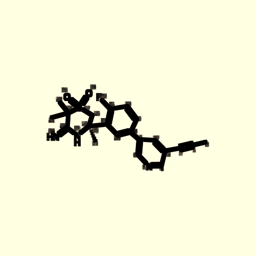 CC#Cc1cncc(-c2ccc(F)c([C@]3(C)CS(=O)(=O)C(C)(C)C(=N)N3)c2)c1